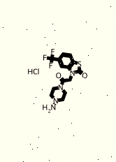 Cl.NN1CCN(C(=O)Cn2c(=O)sc3ccc(C(F)(F)F)cc32)CC1